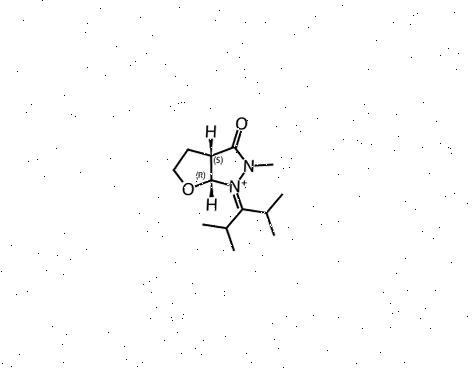 CC(C)C(C(C)C)=[N+]1[C@@H]2OCC[C@@H]2C(=O)N1C